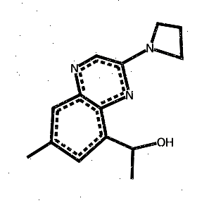 Cc1cc(C(C)O)c2nc(N3CCC3)cnc2c1